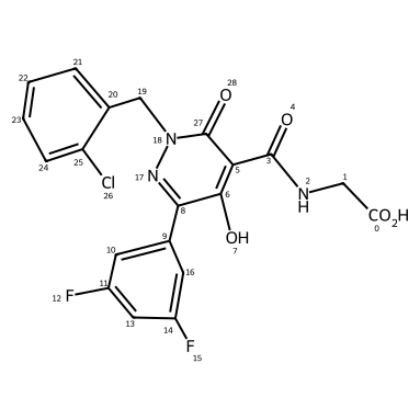 O=C(O)CNC(=O)c1c(O)c(-c2cc(F)cc(F)c2)nn(Cc2ccccc2Cl)c1=O